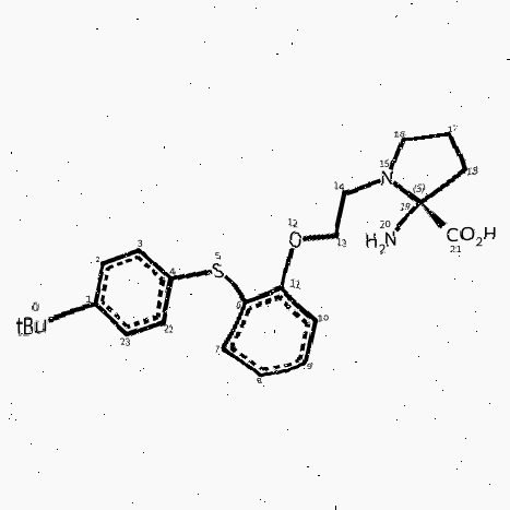 CC(C)(C)c1ccc(Sc2ccccc2OCCN2CCC[C@@]2(N)C(=O)O)cc1